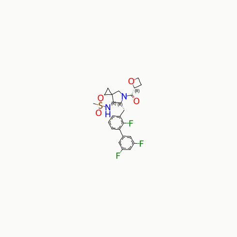 CS(=O)(=O)N[C@H]1[C@@H](Cc2cccc(-c3cc(F)cc(F)c3)c2F)N(C(=O)[C@H]2CCO2)CC12CC2